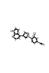 N#Cc1ccc(-n2cc(-c3ccnc4[nH]ccc34)cn2)c(Cl)c1